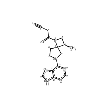 C[C@@H]1CN(C(=O)CC#N)[C@]12CCN(c1ncnc3[nH]ccc13)C2